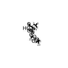 CC(C)C[C@@H](C(=O)O)N(C)[N+]([O-])=NOC(C)OC(=O)OC(C)(C)C